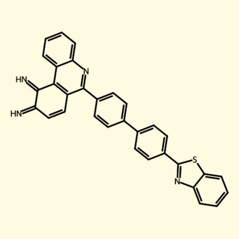 N=C1C=Cc2c(-c3ccc(-c4ccc(-c5nc6ccccc6s5)cc4)cc3)nc3ccccc3c2C1=N